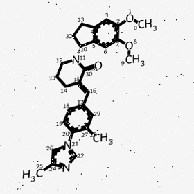 COc1cc2c(cc1OC)[C@H](N1CCC/C(=C\c3ccc(-n4cnc(C)c4)c(C)c3)C1=O)CC2